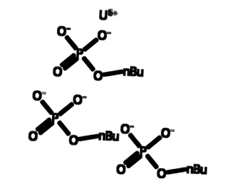 CCCCOP(=O)([O-])[O-].CCCCOP(=O)([O-])[O-].CCCCOP(=O)([O-])[O-].[U+6]